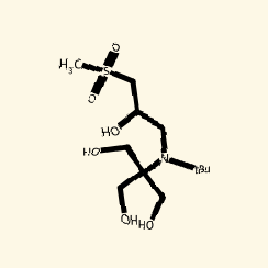 CC(C)(C)N(CC(O)CS(C)(=O)=O)C(CO)(CO)CO